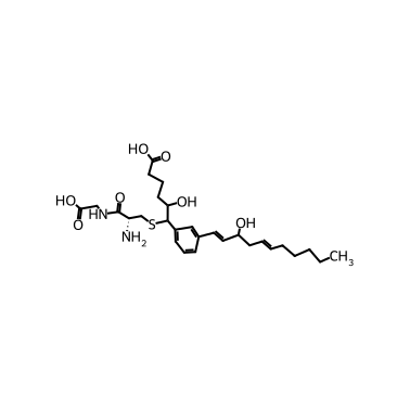 CCCCCC=CCC(O)C=Cc1cccc(C(SC[C@H](N)C(=O)NCC(=O)O)C(O)CCCC(=O)O)c1